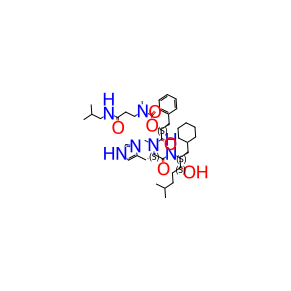 CC(C)CC[C@H](O)[C@H](CC1CCCCC1)NC(=O)[C@H](Cc1c[nH]cn1)N(C)C(=O)[C@H](Cc1ccccc1)OC(=O)N(C)CCC(=O)NCC(C)C